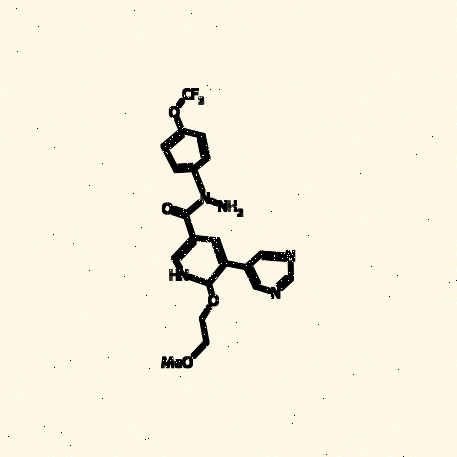 COCCOC1NC=C(C(=O)N(N)c2ccc(OC(F)(F)F)cc2)C=C1c1cncnc1